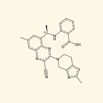 Cc1cc([C@@H](C)Nc2ccccc2C(=O)O)c2nc(N3CCc4sc(C)nc4C3)c(C#N)nc2c1